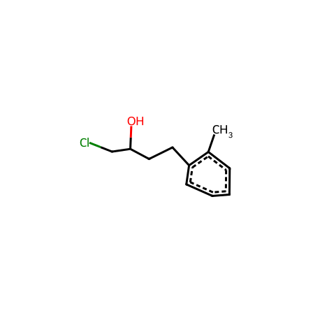 Cc1ccccc1CCC(O)CCl